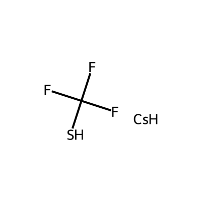 FC(F)(F)S.[CsH]